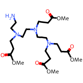 COC(=O)CCN(CCN)CCN(CCC(=O)OC)CCN(CCC(=O)OC)CCC(=O)OC